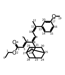 CCOC(=O)C=C(C)C(=CC=C(C)c1cccc(OC)c1)C12CC3CC(CC(C3)C1)C2